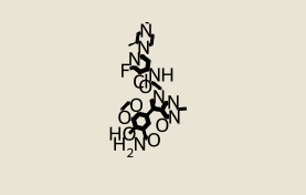 Cc1nc2c(c(-c3cc(C(N)=O)c(O)c4c3OCCO4)cn2CC(=O)Nc2cc(N3CCN(C)C[C@@H]3C)nc(F)c2Cl)c(=O)n1C